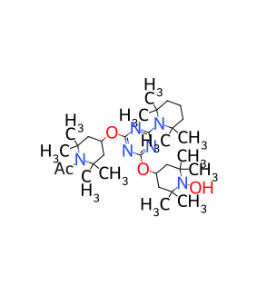 CC(=O)N1C(C)(C)CC(Oc2nc(OC3CC(C)(C)N(O)C(C)(C)C3)nc(N3C(C)(C)CCCC3(C)C)n2)CC1(C)C